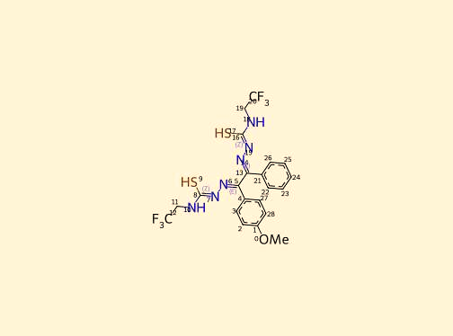 COc1ccc(C(=N\N=C(/S)NCC(F)(F)F)/C(=N/N=C(\S)NCC(F)(F)F)c2ccccc2)cc1